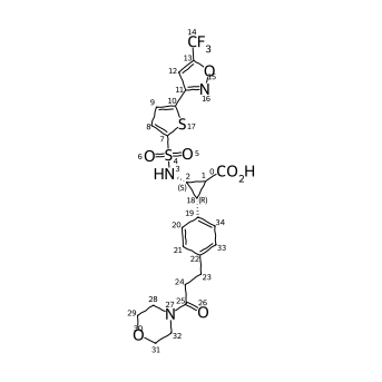 O=C(O)C1[C@@H](NS(=O)(=O)c2ccc(-c3cc(C(F)(F)F)on3)s2)[C@H]1c1ccc(CCC(=O)N2CCOCC2)cc1